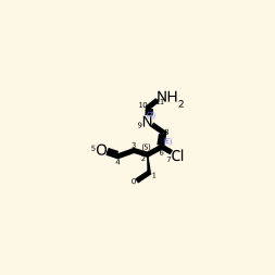 CC[C@@H](CC=O)/C(Cl)=C\N=C/N